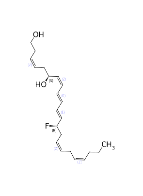 CCC/C=C\C/C=C\C[C@@H](F)/C=C/C=C/C=C\[C@@H](O)C/C=C\CCO